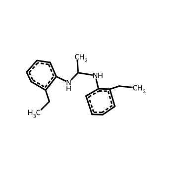 CCc1ccccc1NC(C)Nc1ccccc1CC